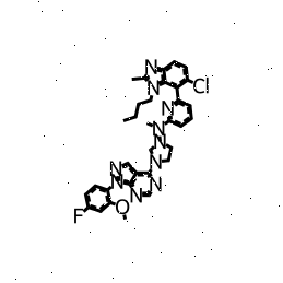 CCCCn1c(C)nc2ccc(Cl)c(-c3cccc(N(C)N4CCN(c5ncnc6c5cnn6-c5ccc(F)cc5OC)C4)n3)c21